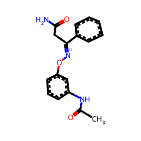 CC(=O)Nc1cccc(O/N=C(\CC(N)=O)c2ccccc2)c1